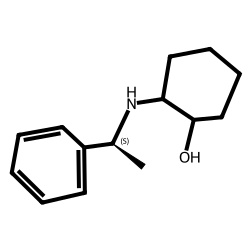 C[C@H](NC1CCCCC1O)c1ccccc1